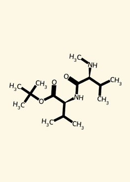 CN[C@H](C(=O)N[C@H](C(=O)OC(C)(C)C)C(C)C)C(C)C